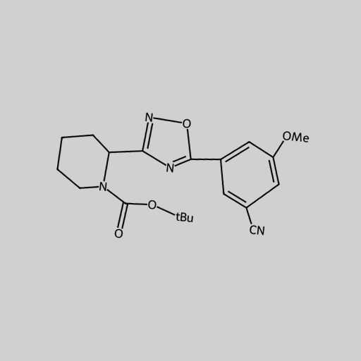 COc1cc(C#N)cc(-c2nc(C3CCCCN3C(=O)OC(C)(C)C)no2)c1